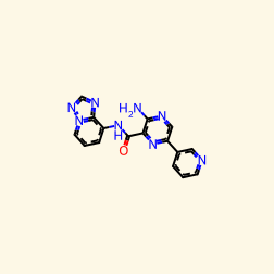 Nc1ncc(-c2cccnc2)nc1C(=O)Nc1cccn2ncnc12